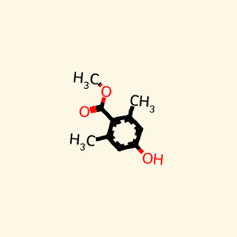 COC(=O)c1c(C)cc(O)cc1C